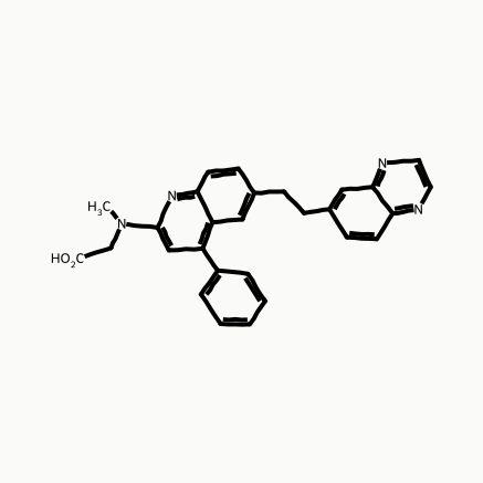 CN(CC(=O)O)c1cc(-c2ccccc2)c2cc(CCc3ccc4nccnc4c3)ccc2n1